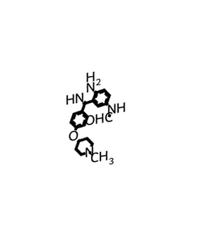 CN1CCC(Oc2ccc(C(=N)c3cc(NC=O)ccc3N)cc2)CC1